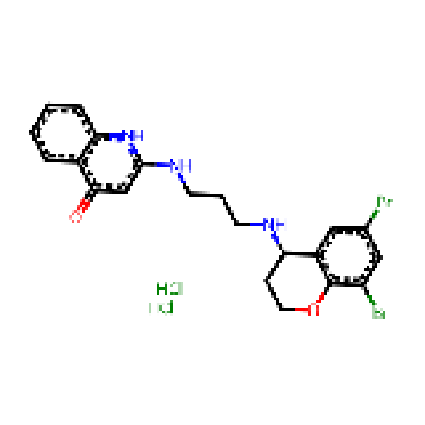 Cl.Cl.O=c1cc(NCCCN[C@@H]2CCOc3c(Br)cc(Br)cc32)[nH]c2ccccc12